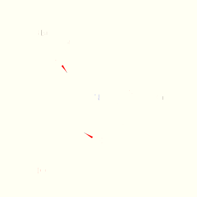 CC(C)(C)OC(=O)N1C[C@H](O[Si](C)(C)C(C)(C)C)C[C@H]1[C@@H](O)CCO